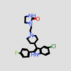 O=C1NCCN1CCN1CCC(c2c(-c3ccc(F)cc3)[nH]c3ccc(Cl)cc23)CC1